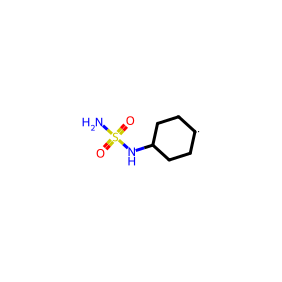 NS(=O)(=O)NC1CC[CH]CC1